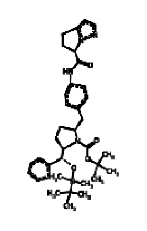 CC(C)(C)OC(=O)N1[C@H](Cc2ccc(NC(=O)[C@H]3CCc4ccnn43)cc2)CC[C@@H]1[C@H](O[Si](C)(C)C(C)(C)C)c1ccccc1